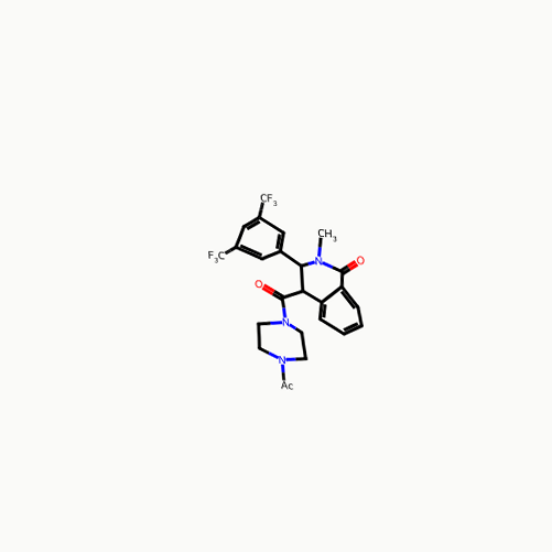 CC(=O)N1CCN(C(=O)C2c3ccccc3C(=O)N(C)C2c2cc(C(F)(F)F)cc(C(F)(F)F)c2)CC1